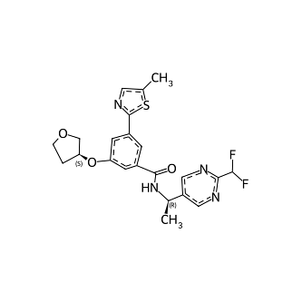 Cc1cnc(-c2cc(O[C@H]3CCOC3)cc(C(=O)N[C@H](C)c3cnc(C(F)F)nc3)c2)s1